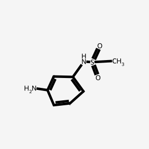 CS(=O)(=O)Nc1c[c]cc(N)c1